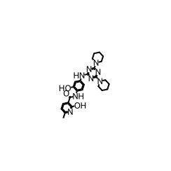 Cc1ccc(C(=O)Nc2ccc(Nc3nc(N4CCCCC4)nc(N4CCCCC4)n3)cc2O)c(O)n1